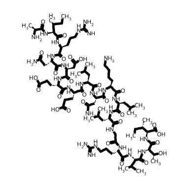 CC[C@H](C)[C@H](NC(=O)[C@@H](NC(=O)[C@@H](NC(=O)[C@H](CCCNC(=N)N)NC(=O)CNC(=O)[C@H](CC(C)C)NC(=O)[C@H](CC(C)C)NC(=O)[C@H](CCCCN)NC(=O)[C@H](CC(N)=O)NC(=O)[C@H](CC(C)C)NC(=O)[C@H](CCC(=O)O)NC(=O)[C@H](CCC(=O)O)NC(=O)[C@H](CC(=O)O)NC(=O)[C@H](CC(N)=O)NC(=O)[C@H](CCCNC(=N)N)NC(=O)[C@@H](NC(=O)[C@H](C)N)[C@@H](C)CC)C(C)C)[C@@H](C)O)C(=O)O